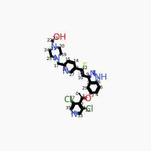 C[C@@H](Oc1ccc2[nH]nc(/C=C(\F)c3ccc(CN4CCN(CO)CC4)nc3)c2c1)c1c(Cl)cncc1Cl